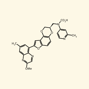 COc1cnc2c(-c3cc4c5c(ccc4o3)O[C@H](CN(C(=O)O)c3ccnc(C)c3)CO5)cc(C)cc2n1